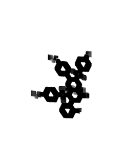 Cc1ccc(C2C[C@@H]3C(S(=O)(=O)c4ccc(C)cc4)C(c4ccccc4F)CC(=O)[C@@H]3CC2S(=O)(=O)c2ccc(Cl)cc2)cc1